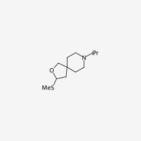 CSC1CC2(CCN(C(C)C)CC2)CO1